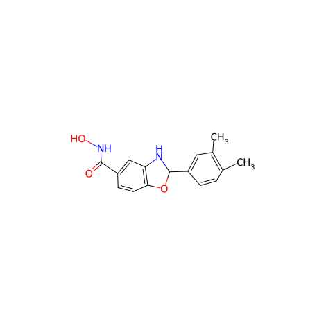 Cc1ccc(C2Nc3cc(C(=O)NO)ccc3O2)cc1C